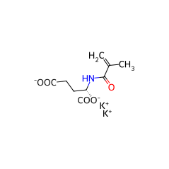 C=C(C)C(=O)N[C@@H](CCC(=O)[O-])C(=O)[O-].[K+].[K+]